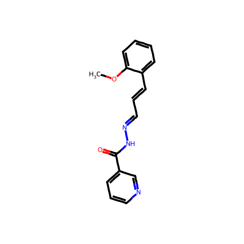 COc1ccccc1/C=C/C=N/NC(=O)c1cccnc1